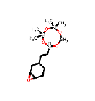 C[Si]1(C)O[SiH2]O[SiH](CCC2CCC3OC3C2)O[Si](C)(C)O1